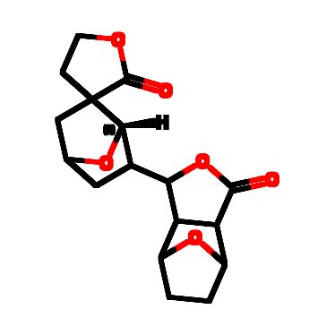 O=C1OC(C2CC3CC4(CCOC4=O)[C@H]2O3)C2C3CCC(O3)C12